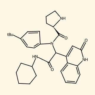 CC(C)(C)c1ccc(N(C(=O)[C@H]2CCCN2)C(C(=O)NC2CCCCC2)c2cc(=O)[nH]c3ccccc23)cc1